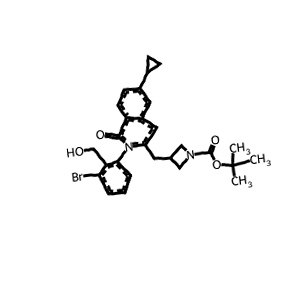 CC(C)(C)OC(=O)N1CC(Cc2cc3cc(C4CC4)ccc3c(=O)n2-c2cccc(Br)c2CO)C1